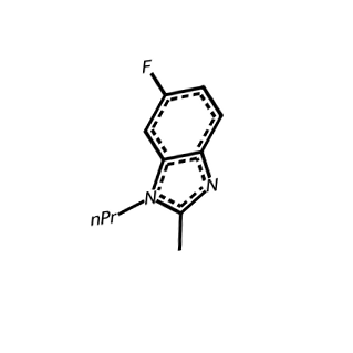 CCCn1c(C)nc2ccc(F)cc21